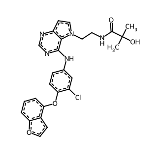 CC(C)(O)C(=O)NCCn1ccc2ncnc(Nc3ccc(Oc4cccc5occc45)c(Cl)c3)c21